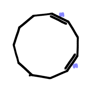 [CH]1C/C=C\C/C=C\CCCC1